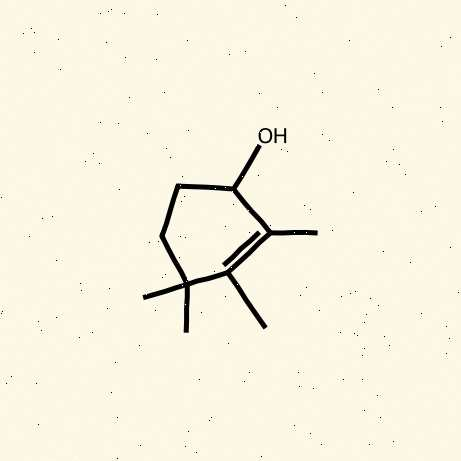 CC1=C(C)C(C)(C)CCC1O